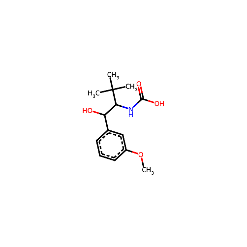 COc1cccc(C(O)C(NC(=O)O)C(C)(C)C)c1